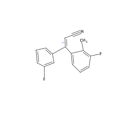 Cc1c(F)cccc1/C(=C\C#N)c1cccc(F)c1